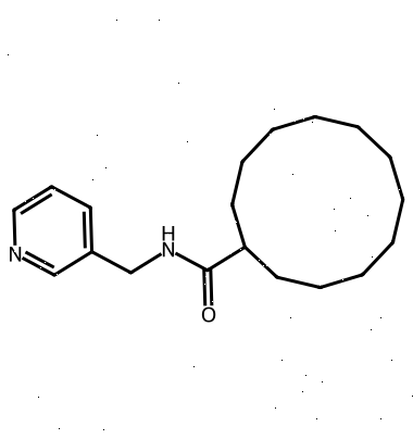 O=C(NCc1cccnc1)C1CCCCCCCCCCC1